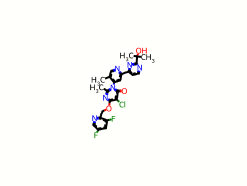 Cc1cnc(-c2ccnc(C(C)(C)O)n2)cc1-n1c(C)nc(OCc2ncc(F)cc2F)c(Cl)c1=O